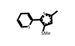 CSc1cc(C)sc1C1=CCC=CS1